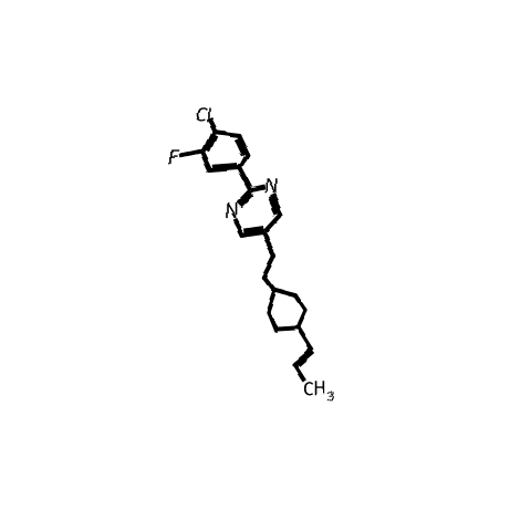 CC=CC1CCC(CCc2cnc(-c3ccc(Cl)c(F)c3)nc2)CC1